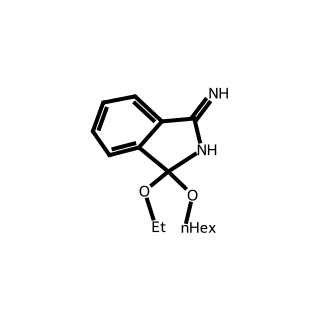 CCCCCCOC1(OCC)NC(=N)c2ccccc21